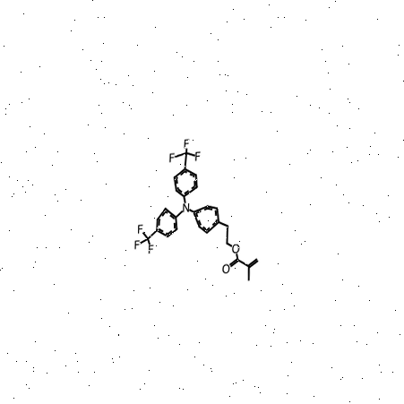 C=C(C)C(=O)OCCc1ccc(N(c2ccc(C(F)(F)F)cc2)c2ccc(C(F)(F)F)cc2)cc1